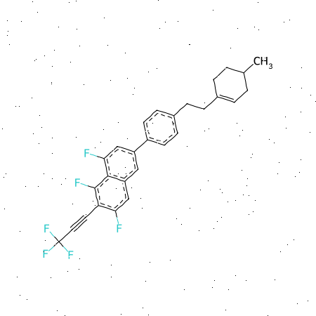 CC1CC=C(CCc2ccc(-c3cc(F)c4c(F)c(C#CC(F)(F)F)c(F)cc4c3)cc2)CC1